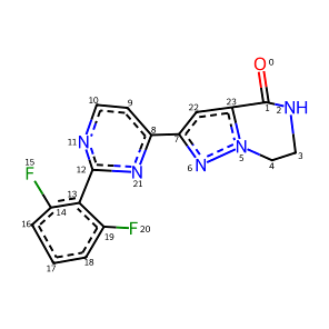 O=C1NCCn2nc(-c3ccnc(-c4c(F)cccc4F)n3)cc21